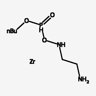 CCCCO[PH](=O)ONCCN.[Zr]